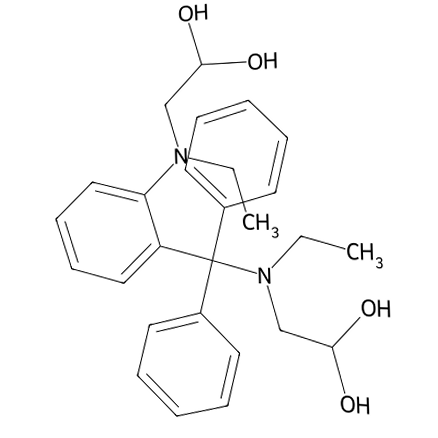 CCN(CC(O)O)c1ccccc1C(c1ccccc1)(c1ccccc1)N(CC)CC(O)O